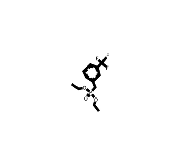 CCOP(=O)(Cc1cccc(C(F)(F)F)c1)OCC